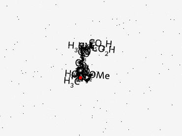 COc1ccc2c3c1O[C@H]1C(OC(=O)CCC(=O)OC(C)C(=O)NC(CC(=O)O)C(=O)O)=CC[C@@]4(O)[C@@H](C2)N(C)CC[C@]314